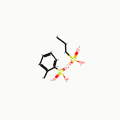 CCCS(=O)(=O)O.Cc1ccccc1S(=O)(=O)O